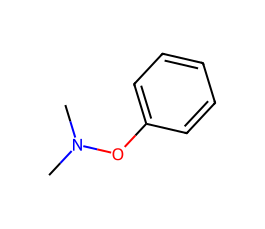 CN(C)Oc1ccccc1